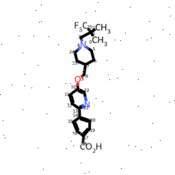 CC(C)(CN1CCC(COc2ccc(-c3ccc(C(=O)O)cc3)nc2)CC1)C(F)(F)F